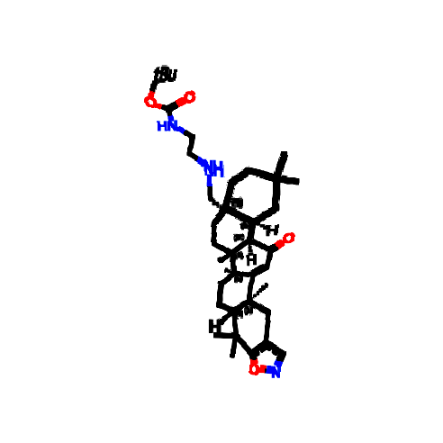 CC1(C)CC[C@]2(CNCCNC(=O)OC(C)(C)C)CC[C@]3(C)[C@H](C(=O)C=C4[C@@]5(C)Cc6cnoc6C(C)(C)[C@@H]5CC[C@]43C)[C@@H]2C1